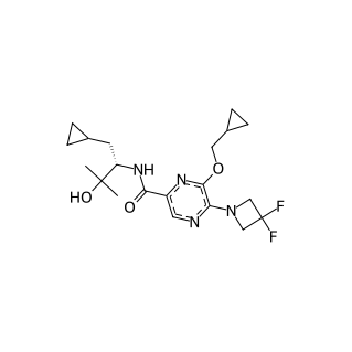 CC(C)(O)[C@H](CC1CC1)NC(=O)c1cnc(N2CC(F)(F)C2)c(OCC2CC2)n1